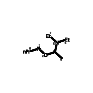 CCC[N]OC(C)N(CC)CC